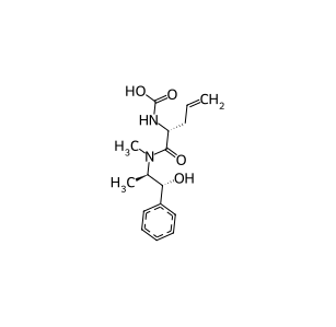 C=CC[C@@H](NC(=O)O)C(=O)N(C)[C@H](C)[C@H](O)c1ccccc1